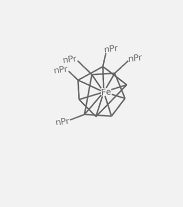 CCC[C]12[CH]3[CH]4[CH]5[C]1(CCC)[Fe]43521678[CH]2[CH]1[C]6(CCC)[C]7(CCC)[C]28CCC